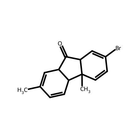 CC1=CC2C(=O)C3C=C(Br)C=CC3(C)C2C=C1